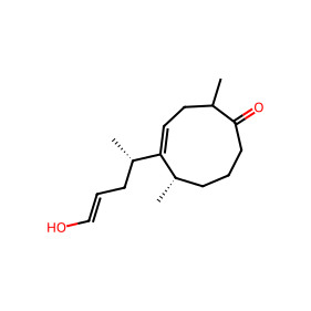 CC1C/C=C(/[C@@H](C)C/C=C/O)[C@@H](C)CCCC1=O